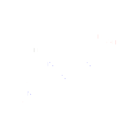 CC(=O)Nc1nc(/C=C\c2ccc([N+](=O)[O-])cc2)c(CN2CCS(O)(O)CC2)s1